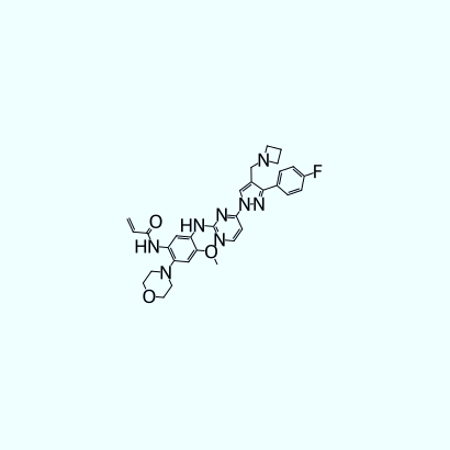 C=CC(=O)Nc1cc(Nc2nccc(-n3cc(CN4CCC4)c(-c4ccc(F)cc4)n3)n2)c(OC)cc1N1CCOCC1